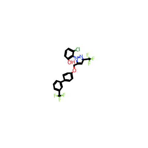 Oc1cccc(Cl)c1-n1nc(C(F)(F)F)cc1COc1ccc(-c2cccc(C(F)(F)F)c2)cc1